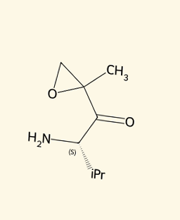 CC(C)[C@H](N)C(=O)C1(C)CO1